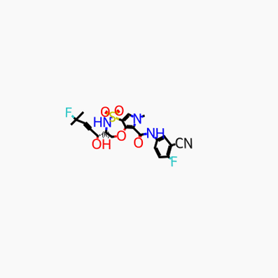 Cn1cc2c(c1C(=O)Nc1ccc(F)c(C#N)c1)OC[C@H](C(O)C#CC(C)(C)F)NS2(=O)=O